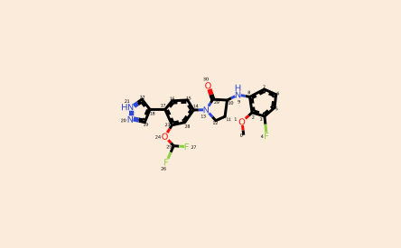 COc1c(F)cccc1NC1CCN(c2ccc(-c3cn[nH]c3)c(OC(F)F)c2)C1=O